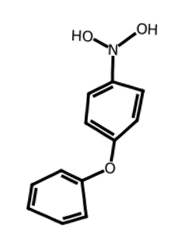 ON(O)c1ccc(Oc2ccccc2)cc1